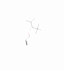 C=CCO[C@@H](C(C)C)C(C)(C)O